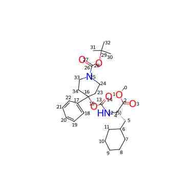 COC(=O)[C@H](CC1CCCCC1)NC(=O)OC1(c2ccccc2)CCN(C(=O)OC(C)(C)C)CC1